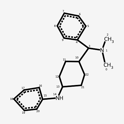 CN(C)C(c1ccccc1)C1CCC(Nc2ccccc2)CC1